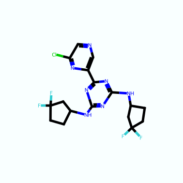 FC1(F)CCC(Nc2nc(NC3CCC(F)(F)C3)nc(-c3cncc(Cl)n3)n2)C1